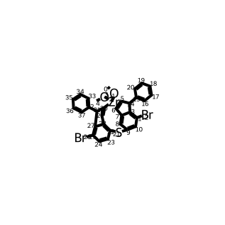 C[O][Zr]1([O]C)[C]2=Cc3cc(cc(Br)c3C2c2ccccc2)Sc2ccc(Br)c3c2C=[C]1C3c1ccccc1